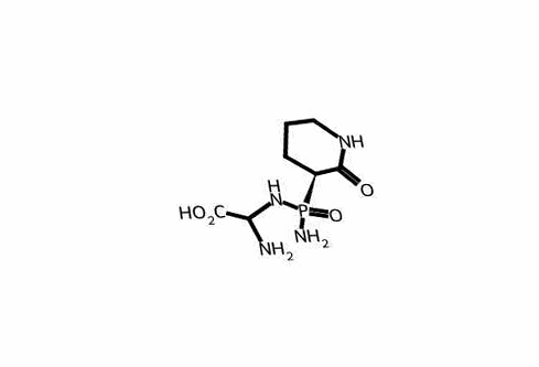 NC(NP(N)(=O)[C@H]1CCCNC1=O)C(=O)O